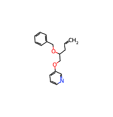 C=CCC(COc1cccnc1)OCc1ccccc1